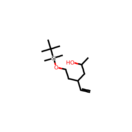 C=CC(CCO[Si](C)(C)C(C)(C)C)CC(C)O